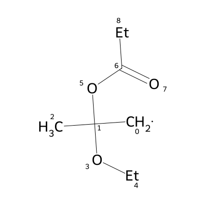 [CH2]C(C)(OCC)OC(=O)CC